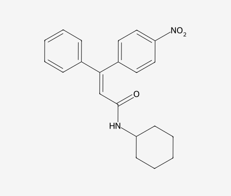 O=C(C=C(c1ccccc1)c1ccc([N+](=O)[O-])cc1)NC1CCCCC1